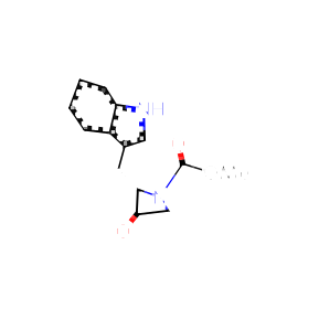 COC(=O)N1CC(=O)[C@@H]1Cc1c[nH]c2ccccc12